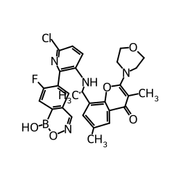 Cc1cc([C@H](C)Nc2ccc(Cl)nc2-c2cc3c(cc2F)B(O)ON=C3)c2oc(N3CCOCC3)c(C)c(=O)c2c1